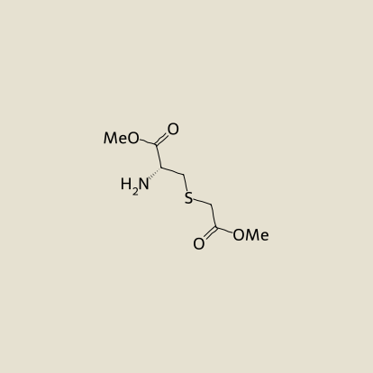 COC(=O)CSC[C@H](N)C(=O)OC